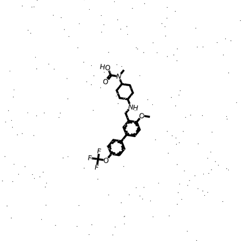 COc1ccc(-c2ccc(OC(F)(F)F)cc2)cc1CNC1CCC(N(C)C(=O)O)CC1